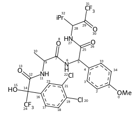 COc1ccc(C(NC(=O)C(C)NC(=O)C(O)(c2ccc(Cl)c(Cl)c2)C(F)(F)F)C(=O)NC(C(=O)C(F)(F)F)C(C)C)cc1